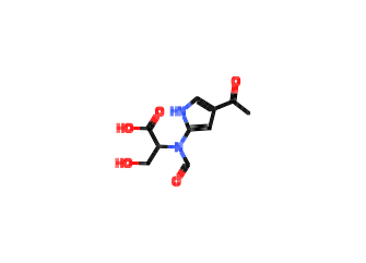 CC(=O)c1c[nH]c(N(C=O)C(CO)C(=O)O)c1